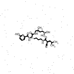 CC(C)C=C(C#N)C(=O)NCCCC[C@H](NC(=O)c1cccc(O)n1)C(=O)NC[C@H](C)CCB(O)O